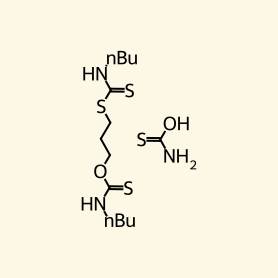 CCCCNC(=S)OCCCSC(=S)NCCCC.NC(O)=S